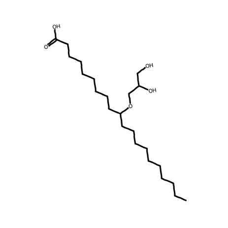 CCCCCCCCCCC(CCCCCCCCC(=O)O)OCC(O)CO